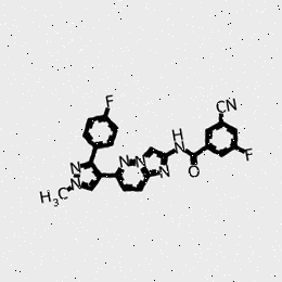 Cn1cc(-c2ccc3nc(NC(=O)c4cc(F)cc(C#N)c4)cn3n2)c(-c2ccc(F)cc2)n1